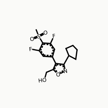 CS(=O)(=O)c1c(F)cc(-c2c(C3CCCC3)noc2CO)cc1F